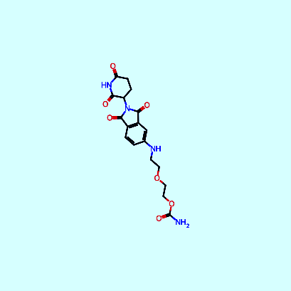 NC(=O)OCCOCCNc1ccc2c(c1)C(=O)N(C1CCC(=O)NC1=O)C2=O